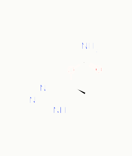 C[C@H](OC(N)=O)c1nnc[nH]1